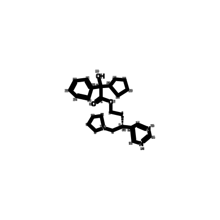 O=C(OCC[C@@H](CN1CCCC1)c1cncnc1)C(O)(c1ccccc1)C1CCCC1